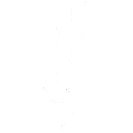 ClCc1ccc(/C=C/c2nc(CCl)co2)cc1